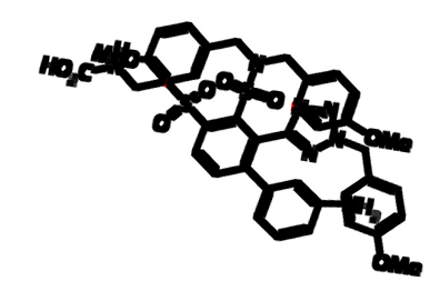 COc1ccc(CN(Cc2ccc(OC)cc2)S(=O)(=O)c2c(S(=O)(=O)CCNC(=O)O)ccc(-c3cccc(N)c3)c2-c2nnn(Cc3ccc(OC)cc3)n2)cc1